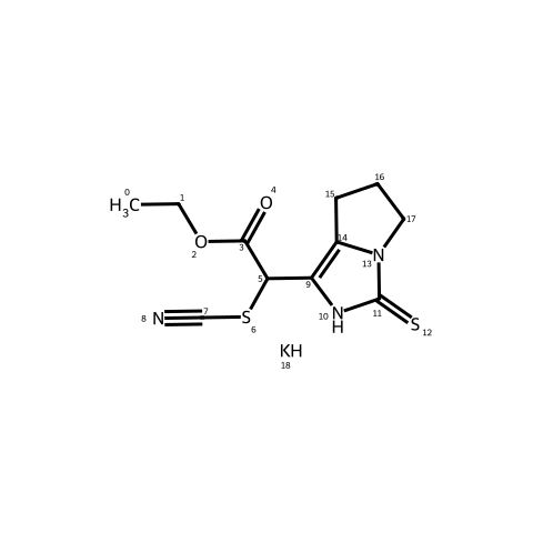 CCOC(=O)C(SC#N)c1[nH]c(=S)n2c1CCC2.[KH]